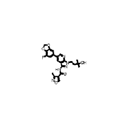 Cc1nocc1C(=O)Nc1nn(CCC(C)(C)O)c2ncc(-c3cc(F)c4c(c3)OCO4)cc12